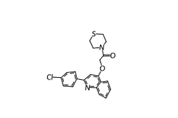 O=C(COc1cc(-c2ccc(Cl)cc2)nc2ccccc12)N1CCSCC1